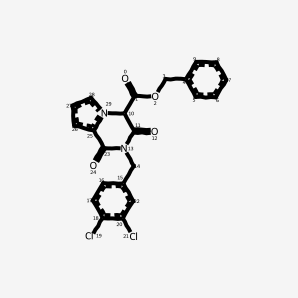 O=C(OCc1ccccc1)C1C(=O)N(Cc2ccc(Cl)c(Cl)c2)C(=O)c2cccn21